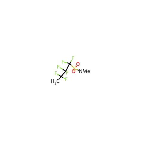 CNS(=O)(=O)C(F)(F)C(F)(F)C(C)(F)F